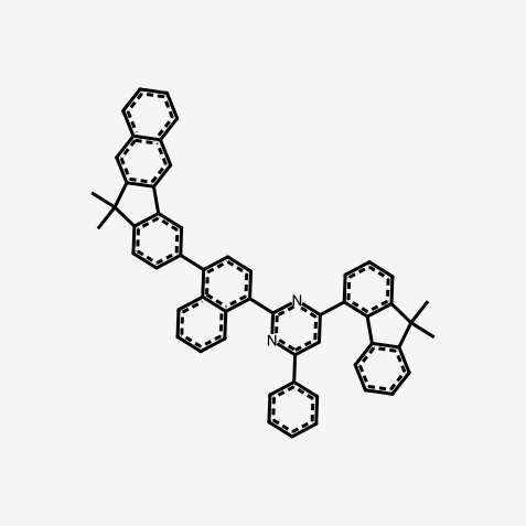 CC1(C)c2ccc(-c3ccc(-c4nc(-c5ccccc5)cc(-c5cccc6c5-c5ccccc5C6(C)C)n4)c4ccccc34)cc2-c2cc3ccccc3cc21